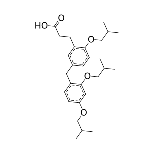 CC(C)COc1ccc(Cc2ccc(OCC(C)C)c(CCC(=O)O)c2)c(OCC(C)C)c1